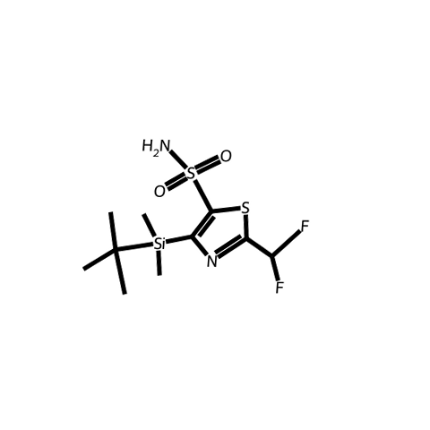 CC(C)(C)[Si](C)(C)c1nc(C(F)F)sc1S(N)(=O)=O